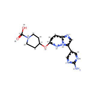 Nc1ncc(-c2cnc3ccc(OC4CCN(C(=O)O)CC4)nn23)cn1